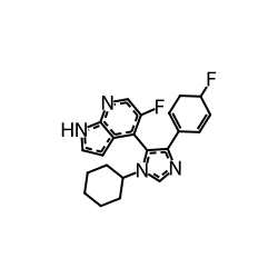 Fc1cnc2[nH]ccc2c1-c1c(C2=CCC(F)C=C2)ncn1C1CCCCC1